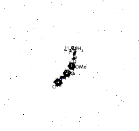 COc1cc(-n2ccc(/C=C/c3ccc(Cl)cc3)cc2=O)ccc1OCOCC[Si](C)(C)C